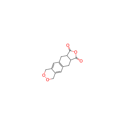 O=C1OC(=O)C2Cc3cc4c(cc3CC12)COOC4